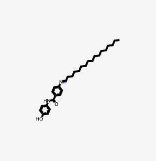 CCCCCCCCCCCCCCCC/C=N/c1ccc(C(=O)Nc2ccc(O)cc2)cc1